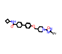 CC(C)c1noc(N2CCC(COc3ccc(C4=CCC(C(=O)NC5CCC5)CC4)cc3)CC2)n1